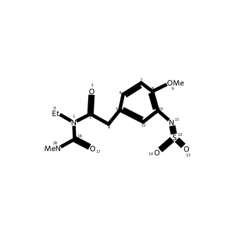 CCN(C(=O)Cc1ccc(OC)c(N=S(=O)=O)c1)C(=O)NC